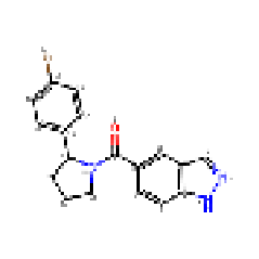 O=C(c1ccc2[nH]ncc2c1)N1CCCC1c1ccc(Br)cc1